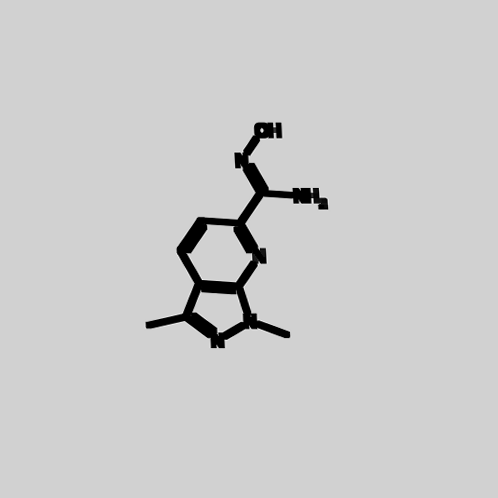 Cc1nn(C)c2nc(/C(N)=N/O)ccc12